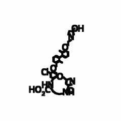 Cc1c(COc2cc3c(cc2Cl)CN[C@H](C(=O)O)CCCCNC(=O)c2cncc(c2)CO3)cccc1-c1cccc(OCCCN2CC[C@@H](O)C2)c1C